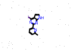 Cc1cccc(-c2nc(I)c3cc[nH]c3n2)n1